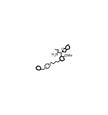 CN=C(N)N(c1cc2ccccc2o1)c1cc(CCCCN2CCN(Cc3ccccc3)CC2)ccc1OC